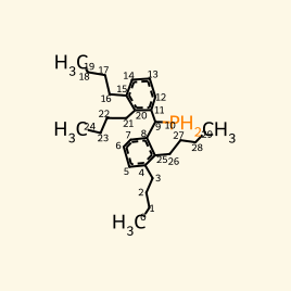 CCCCc1cccc(C(P)c2cccc(CCCC)c2CCCC)c1CCCC